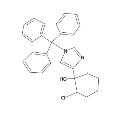 OC1(c2cn(C(c3ccccc3)(c3ccccc3)c3ccccc3)cn2)[CH]CCCC1Cl